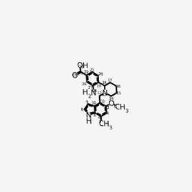 COc1cc(C)c2[nH]ccc2c1CN1CCCCC1c1ccc(C(=O)O)cc1N